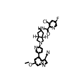 CCOc1cc(-c2ccc(N3C[C@@H]4CC(C)(NC(=O)c5ncc(F)cc5Cl)C[C@@H]4C3)nc2)c2c(C#N)cnn2c1